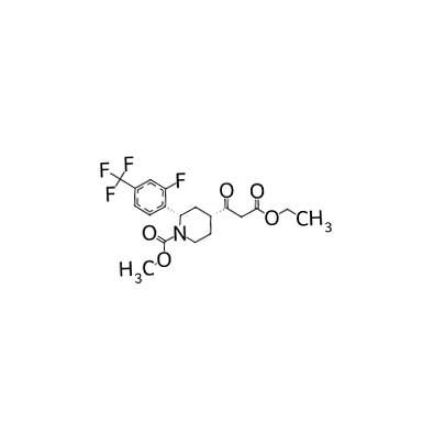 CCOC(=O)CC(=O)[C@@H]1CCN(C(=O)OC)[C@H](c2ccc(C(F)(F)F)cc2F)C1